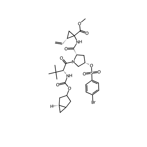 C=C[C@@H]1CC1(NC(=O)[C@@H]1C[C@H](OS(=O)(=O)c2ccc(Br)cc2)CN1C(=O)[C@H](NC(=O)OC1CC2C[C@H]2C1)C(C)(C)C)C(=O)OC